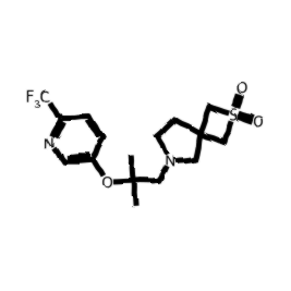 CC(C)(CN1CCC2(C1)CS(=O)(=O)C2)Oc1ccc(C(F)(F)F)nc1